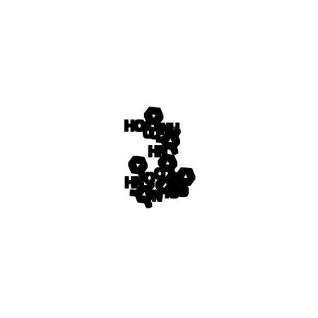 Cc1cc(C)c(NC(=O)c2ccccc2)c(C)c1N=c1ccc2c(-c3ccccc3S(=O)(=O)O)c3ccc(Nc4c(C)cc(C)c(NC(=O)c5ccccc5C(=O)O)c4C)cc3oc-2c1